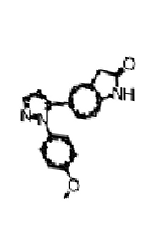 COc1ccc(-n2nccc2-c2ccc3c(c2)CC(=O)N3)cc1